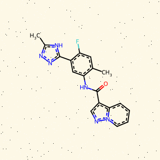 Cc1nnc(-c2cc(NC(=O)c3cnn4ccccc34)c(C)cc2F)[nH]1